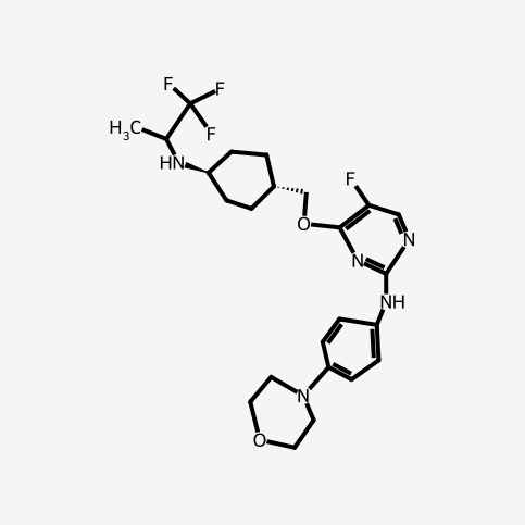 CC(N[C@H]1CC[C@H](COc2nc(Nc3ccc(N4CCOCC4)cc3)ncc2F)CC1)C(F)(F)F